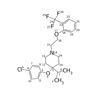 CC(C)C1(Oc2ccc(Cl)cc2)CCN(CCOc2ccccc2C(F)(F)F)CC1